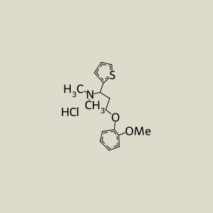 COc1ccccc1OCCC(c1cccs1)N(C)C.Cl